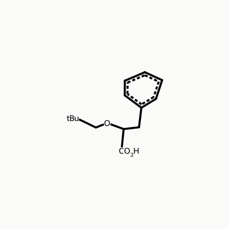 CC(C)(C)COC(Cc1ccccc1)C(=O)O